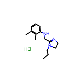 CCCN1CCN=C1CNc1cccc(C)c1C.Cl